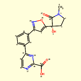 CN1CC[C@@](O)(c2cc(-c3cccc(-c4ccnc(C(=O)O)n4)c3)no2)C1=O